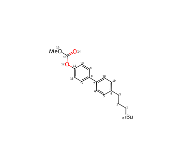 CCC(C)CCCc1ccc(-c2ccc(OC(=O)OC)cc2)cc1